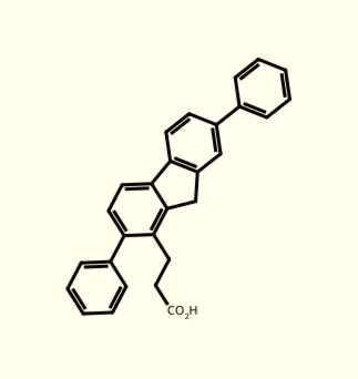 O=C(O)CCc1c(-c2ccccc2)ccc2c1Cc1cc(-c3ccccc3)ccc1-2